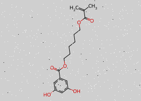 C=C(C)C(=O)OCCCCCCOC(=O)c1cc(O)cc(O)c1